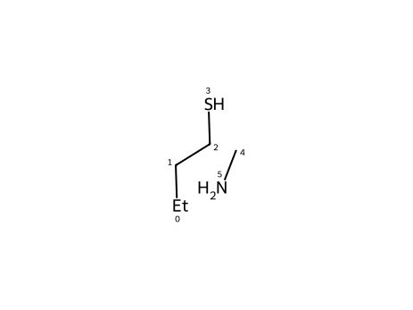 CCCCS.CN